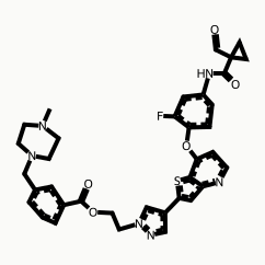 CN1CCN(Cc2cccc(C(=O)OCCn3cc(-c4cc5nccc(Oc6ccc(NC(=O)C7(C=O)CC7)cc6F)c5s4)cn3)c2)CC1